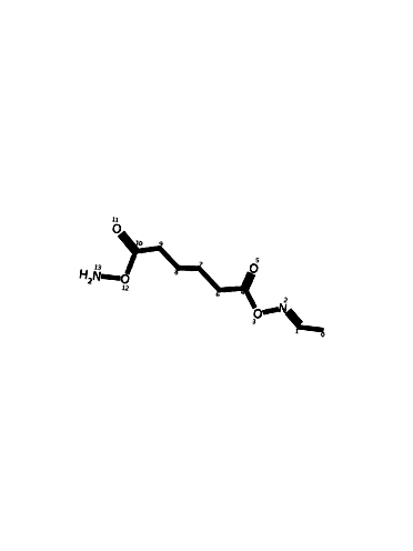 CC=NOC(=O)CCCCC(=O)ON